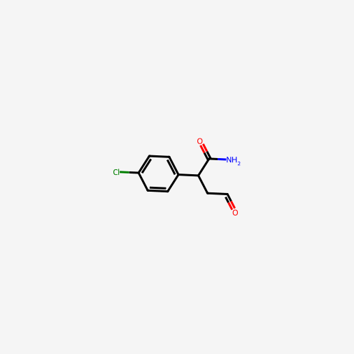 NC(=O)C(CC=O)c1ccc(Cl)cc1